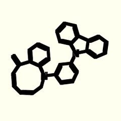 C=C1/C=C\C=C/CN(c2cccc(-n3c4ccccc4c4ccccc43)c2)c2ccccc21